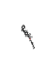 CCCCCOCCCCCNNC(=O)c1ccc(CNC(=O)C2CCOCC2)cc1